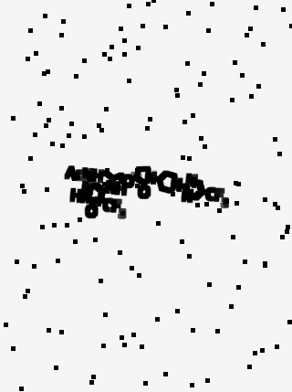 CC(=O)NCC(CO[C@@H]1CCN(C2CCN(c3ncc(C(F)(F)F)cn3)CC2)C1=O)Nc1cn[nH]c(=O)c1C(F)(F)F